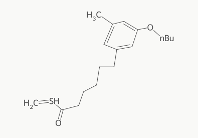 C=[SH]C(=O)CCCCCc1cc(C)cc(OCCCC)c1